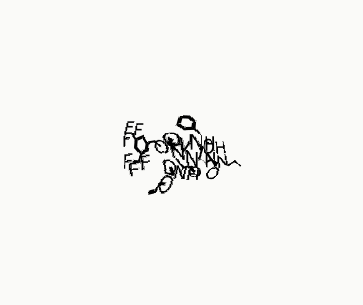 C=CCOC(=O)N[C@H]1CN(C(=O)OCc2cc(C(F)(F)F)cc(C(F)(F)F)c2)[C@H]2CN(Cc3ccccc3)C(=O)[C@H](CNC(=O)NCCC)N2C1=O